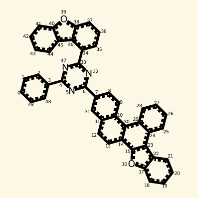 c1ccc(-c2nc(-c3ccc4c(ccc5c6oc7ccccc7c6c6ccccc6c45)c3)nc(-c3cccc4oc5ccccc5c34)n2)cc1